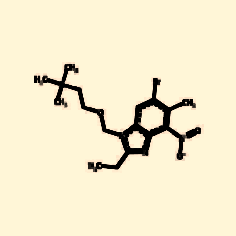 CCc1nc2c([N+](=O)[O-])c(C)c(Br)cc2n1COCC[Si](C)(C)C